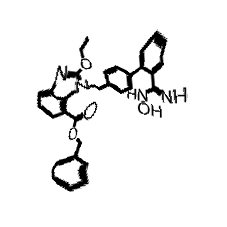 CCOc1nc2cccc(C(=O)OCc3ccccc3)c2n1Cc1ccc(-c2ccccc2C(=N)NO)cc1